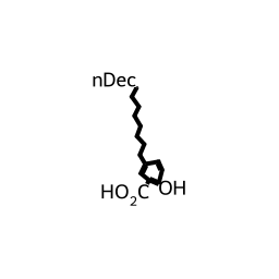 CCCCCCCCCCCCCCCCCCc1ccc(O)c(C(=O)O)c1